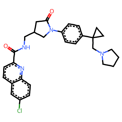 O=C(NCC1CC(=O)N(c2ccc(C3(CN4CCCC4)CC3)cc2)C1)c1ccc2cc(Cl)ccc2n1